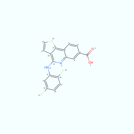 O=C(O)c1ccc2c(c1)nc(Nc1cc(F)ccc1F)c1ccsc12